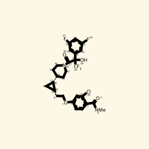 CNC(=O)c1ccc(OCC[C@@H]2C[C@@H]2C2CCN(C(=O)C(O)(c3cc(F)cc(F)c3)C(F)(F)F)CC2)cc1Cl